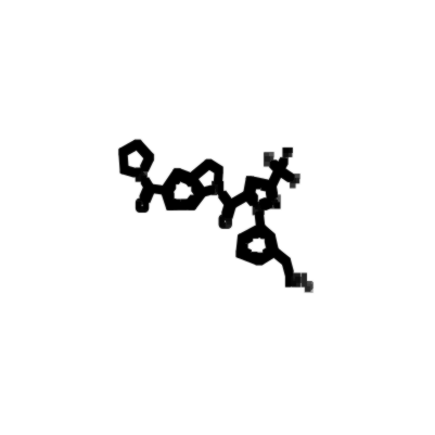 NCc1cccc(-n2nc(C(F)(F)F)cc2C(=O)N2CCc3cc(C(=O)N4CCCC4)ccc32)c1